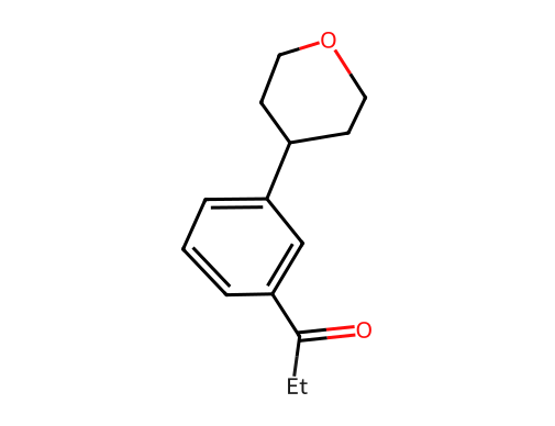 CCC(=O)c1cccc(C2CCOCC2)c1